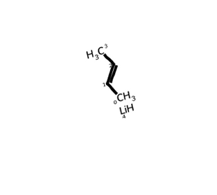 CC=CC.[LiH]